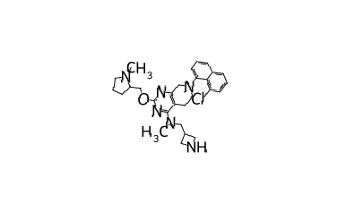 CN(CC1CNC1)c1nc(OCC2CCCN2C)nc2c1CCN(c1cccc3cccc(Cl)c13)C2